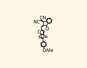 COc1ccc(-c2nc3oc(/C=C4\C(=O)c5ccccc5C4=C(C#N)C#N)cc3n2C)cc1